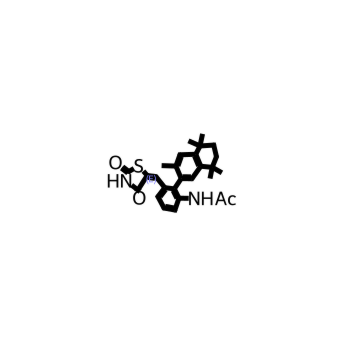 CC(=O)Nc1cccc(/C=C2/SC(=O)NC2=O)c1-c1cc2c(cc1C)C(C)(C)CCC2(C)C